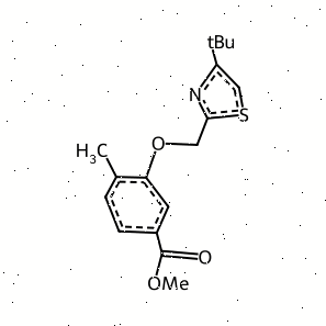 COC(=O)c1ccc(C)c(OCc2nc(C(C)(C)C)cs2)c1